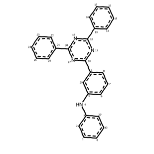 c1ccc(Nc2cccc(-c3nc(-c4ccccc4)nc(-c4ccccc4)n3)c2)cc1